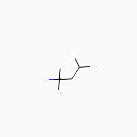 CC(C#N)CC(C)(C)[NH]